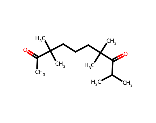 CC(=O)C(C)(C)CCCC(C)(C)C(=O)C(C)C